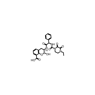 CCN1CCN(C(=O)NC(C(=O)NC2Cc3cccc(C(=O)O)c3OB2O)c2ccccc2)C(=O)C1=O